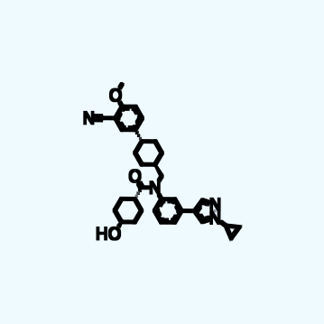 COc1ccc([C@H]2CC[C@H](CN(c3cccc(-c4cnn(C5CC5)c4)c3)C(=O)[C@H]3CC[C@H](O)CC3)CC2)cc1C#N